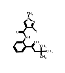 C=C(CC(C)(C)C)c1ccccc1NC(=O)c1cn(C)nc1I